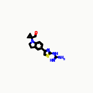 N=C(N)Nc1nc(-c2ccc3c(c2)CCN3C2(C=O)CC2)cs1